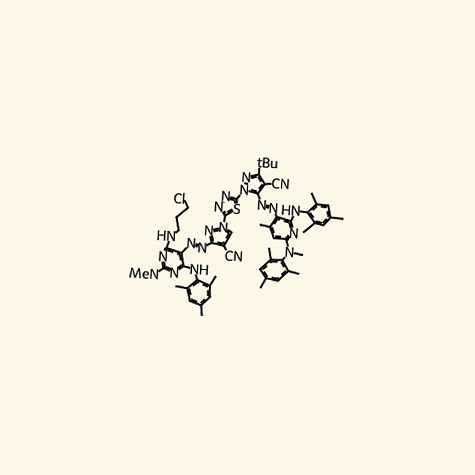 CNc1nc(NCCCCl)c(N=Nc2nn(-c3nnc(-n4nc(C(C)(C)C)c(C#N)c4N=Nc4c(C)cc(N(C)c5c(C)cc(C)cc5C)nc4Nc4c(C)cc(C)cc4C)s3)cc2C#N)c(Nc2c(C)cc(C)cc2C)n1